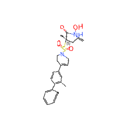 C=CC[C@@](C)(C(=O)NO)S(=O)(=O)N1CC=C(c2ccc(-c3ccccc3)c(C)c2)CC1